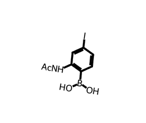 CC(=O)Nc1cc(I)ccc1B(O)O